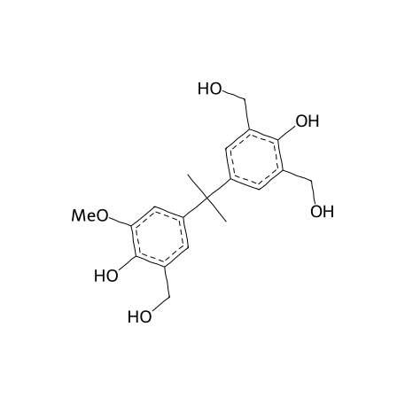 COc1cc(C(C)(C)c2cc(CO)c(O)c(CO)c2)cc(CO)c1O